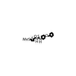 CSc1ccc(C(=O)NC(=S)Nc2ccc(OCc3ccccc3)cc2)s1